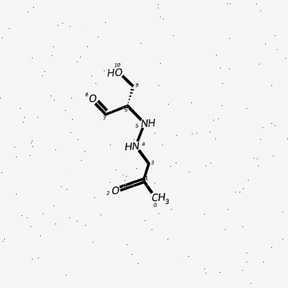 CC(=O)CNN[C@H](C=O)CO